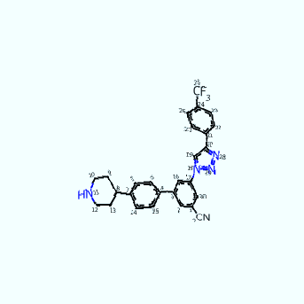 N#Cc1cc(-c2ccc(C3CCNCC3)cc2)cc(-n2cc(-c3ccc(C(F)(F)F)cc3)nn2)c1